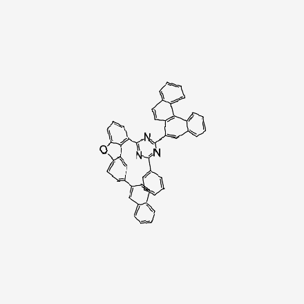 c1ccc(-c2nc(-c3cc4ccccc4c4c3ccc3ccccc34)nc(-c3cccc4oc5ccc(-c6ccc7ccccc7c6)cc5c34)n2)cc1